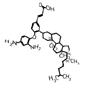 CC(C)CCC[C@@H](C)[C@H]1CCC2C3CCC4CC(c5cc(C=CC(=O)O)ccc5Oc5ccc(N)cc5N)CC[C@]4(C)C3CC[C@@]21C